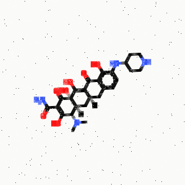 CN(C)[C@@H]1C(O)=C(C(N)=O)C(=O)[C@@]2(O)C(O)=C3C(=O)c4c(ccc(NC5CCNCC5)c4O)C[C@H]3C[C@@H]12